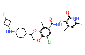 Cc1cc(C)c(CNC(=O)c2cc(Cl)c3c(c2C)OC(C2CCC(NC4CC(F)C4)CC2)CO3)c(=O)[nH]1